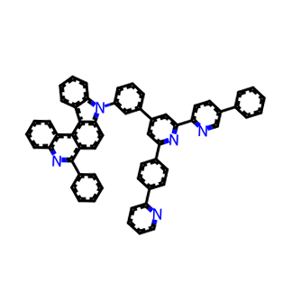 c1ccc(-c2ccc(-c3cc(-c4cccc(-n5c6ccccc6c6c7c(ccc65)c(-c5ccccc5)nc5ccccc57)c4)cc(-c4ccc(-c5ccccn5)cc4)n3)nc2)cc1